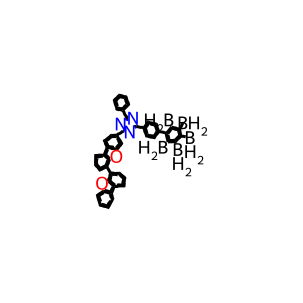 Bc1c(B)c(B)c(-c2ccc(-c3nc(-c4ccccc4)nc(-c4ccc5c(c4)oc4c(-c6cccc7c6oc6ccccc67)cccc45)n3)cc2)c(B)c1B